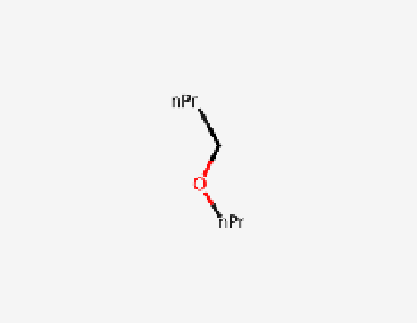 [CH2]CCCOCCC